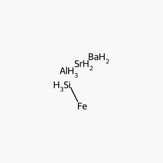 [AlH3].[BaH2].[SiH3][Fe].[SrH2]